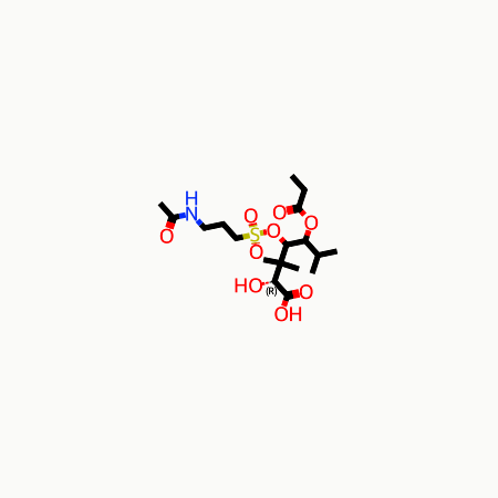 CCC(=O)OC(C(C)C)C(OS(=O)(=O)CCCNC(C)=O)C(C)(C)[C@@H](O)C(=O)O